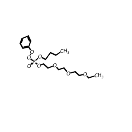 CCCCOP(=O)(OCCOCCOCCOCC)OOc1ccccc1